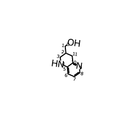 OCC1CNc2cccnc2C1